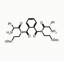 CCCCCCCCCCCCN(C(=O)c1ccccc1C(=O)N(CCCCCCCCCCCC)C(=O)[C@@H](N)C(C)C)C(=O)[C@@H](N)C(C)C